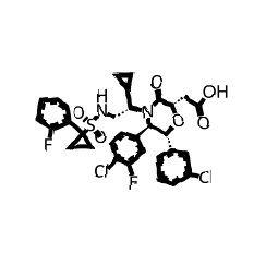 O=C(O)C[C@@H]1O[C@H](c2cccc(Cl)c2)[C@@H](c2ccc(Cl)c(F)c2)N([C@H](CNS(=O)(=O)C2(c3ccccc3F)CC2)C2CC2)C1=O